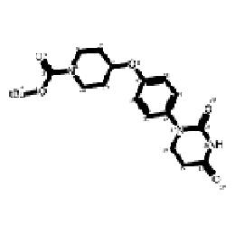 CC(C)(C)OC(=O)N1CCC(Oc2ccc(N3CCC(=O)NC3=O)cc2)CC1